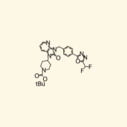 CC(C)(C)OC(=O)N1CCC(n2c(=O)n(Cc3ccc(-c4nnc(C(F)F)o4)cc3)c3ncccc32)CC1